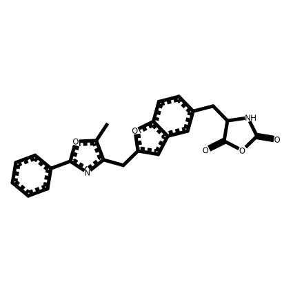 Cc1oc(-c2ccccc2)nc1Cc1cc2cc(CC3NC(=O)OC3=O)ccc2o1